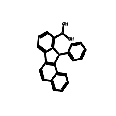 OB(O)c1cccc2c3ccc4ccccc4c3n(-c3ccccc3)c12